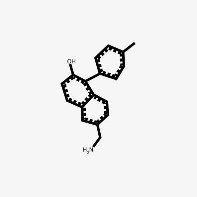 Cc1ccc(-c2c(O)ccc3cc(CN)ccc23)cc1